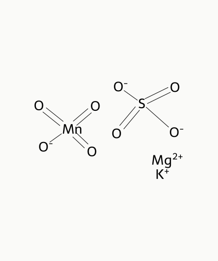 O=S(=O)([O-])[O-].[K+].[Mg+2].[O]=[Mn](=[O])(=[O])[O-]